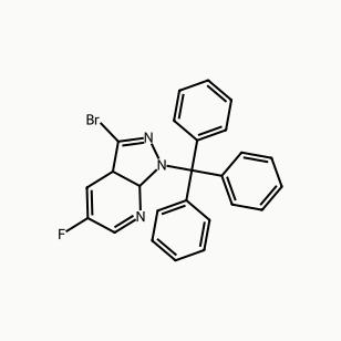 FC1=CC2C(Br)=NN(C(c3ccccc3)(c3ccccc3)c3ccccc3)C2N=C1